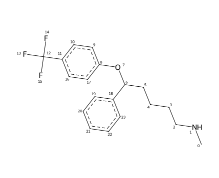 CNCCCCC(Oc1ccc(C(F)(F)F)cc1)c1ccccc1